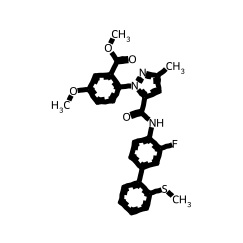 COC(=O)c1cc(OC)ccc1-n1nc(C)cc1C(=O)Nc1ccc(-c2ccccc2SC)cc1F